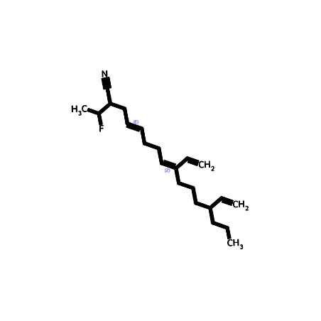 C=C/C(=C\CC/C=C/CC(C#N)C(C)F)CCCC(C=C)CCC